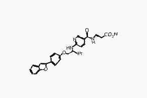 CC(C)C(COc1ccc(-c2cc3ccccc3o2)cc1)Nc1ccc(C(=O)NCCC(=O)O)cn1